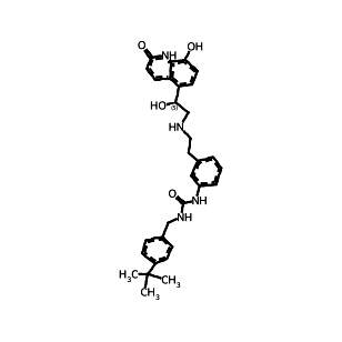 CC(C)(C)c1ccc(CNC(=O)Nc2cccc(CCNC[C@@H](O)c3ccc(O)c4[nH]c(=O)ccc34)c2)cc1